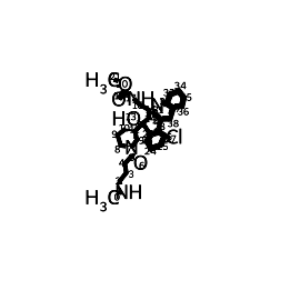 CNCCCC(=O)N1CCC[C@@H]([C@@](O)(CCCNC(=O)OC)c2cccc(Cl)c2-c2cnc3ccccc3c2)C1